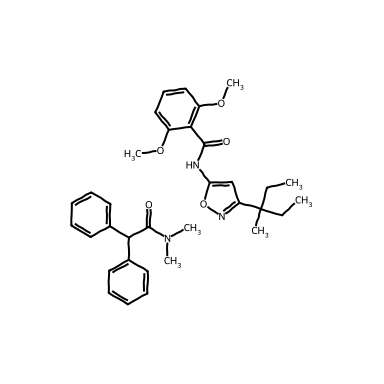 CCC(C)(CC)c1cc(NC(=O)c2c(OC)cccc2OC)on1.CN(C)C(=O)C(c1ccccc1)c1ccccc1